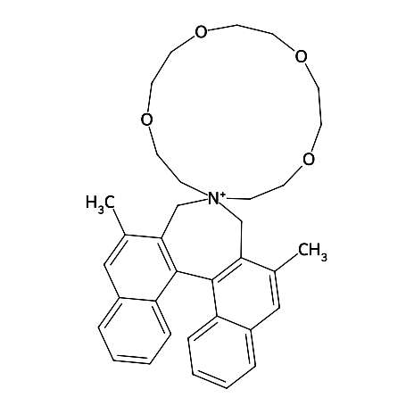 Cc1cc2ccccc2c2c1C[N+]1(CCOCCOCCOCCOCC1)Cc1c(C)cc3ccccc3c1-2